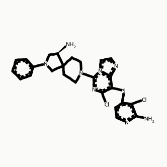 Nc1nccc(Sc2c(Cl)nc(N3CCC4(CC3)CN(c3ccccc3)C[C@H]4N)n3ccnc23)c1Cl